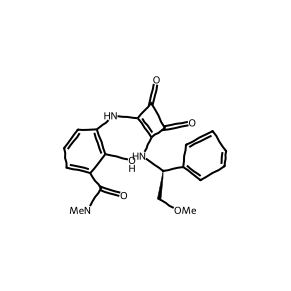 CNC(=O)c1cccc(Nc2c(N[C@H](COC)c3ccccc3)c(=O)c2=O)c1O